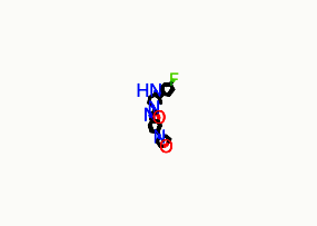 Fc1ccc2c3c([nH]c2c1)CCN(c1nc2ccc(N4CCOCC4)cc2o1)C3